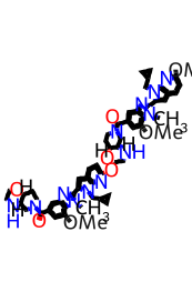 COc1ccc2cc(-c3nc4cc(C(=O)N5CC[C@@H]6OC(Oc7ccc8cc(-c9nc%10cc(C(=O)N%11CC[C@H]%12OCCN[C@H]%12C%11)cc(OC)c%10n9C)n(CC9CC9)c8n7)CN[C@@H]6C5)cc(OC)c4n3C)n(CC3CC3)c2n1